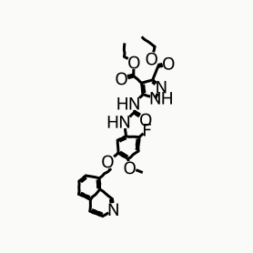 CCOC(=O)c1n[nH]c(NC(=O)Nc2cc(OCc3cccc4ccncc34)c(OC)cc2F)c1C(=O)OCC